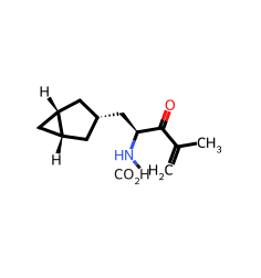 C=C(C)C(=O)[C@H](C[C@@H]1C[C@@H]2C[C@@H]2C1)NC(=O)O